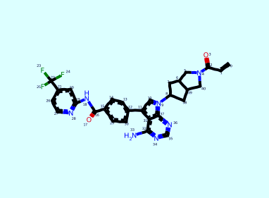 C=CC(=O)N1CC2CC(n3cc(-c4ccc(C(=O)Nc5cc(C(F)(F)F)ccn5)cc4)c4c(N)ncnc43)CC2C1